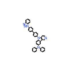 c1ccc(N(c2ccccc2)c2ccc3c(c2)c2cnccc2n3-c2ccc(-c3ccc(-n4nnc5ccccc54)cc3)cc2)cc1